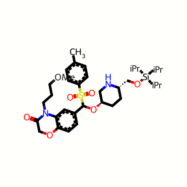 COCCCN1C(=O)COc2ccc(C(O[C@@H]3CC[C@@H](CO[Si](C(C)C)(C(C)C)C(C)C)NC3)S(=O)(=O)c3ccc(C)cc3)cc21